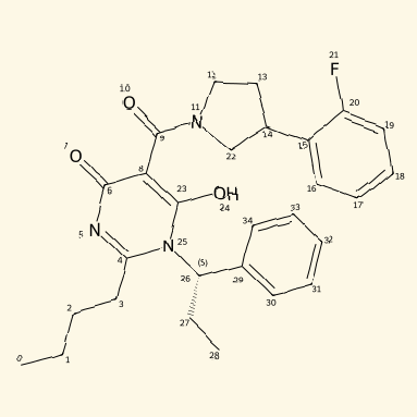 CCCCc1nc(=O)c(C(=O)N2CCC(c3ccccc3F)C2)c(O)n1[C@@H](CC)c1ccccc1